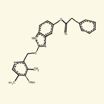 COc1c(C)cnc(CSc2nc3cc(OC(=O)Cc4ccccc4)ccc3[nH]2)c1C